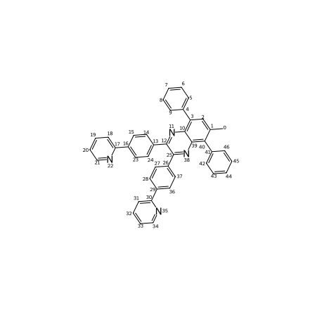 Cc1cc(-c2ccccc2)c2nc(-c3ccc(-c4ccccn4)cc3)c(-c3ccc(-c4ccccn4)cc3)nc2c1-c1ccccc1